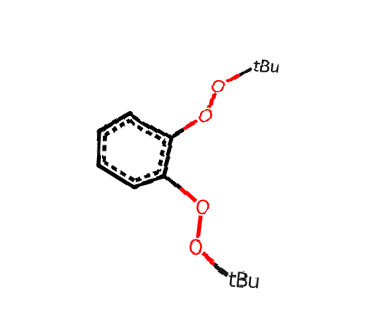 CC(C)(C)OOc1ccccc1OOC(C)(C)C